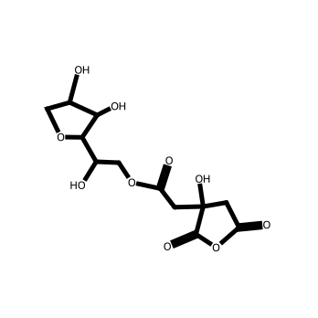 O=C(CC1(O)CC(=O)OC1=O)OCC(O)C1OCC(O)C1O